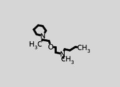 CCCCN(C)CCOCC(C)N1CCCCC1